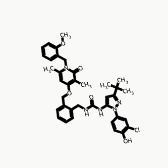 COc1ccccc1Cn1c(C)cc(OCc2ccccc2CNC(=O)Nc2cc(C(C)(C)C)nn2-c2ccc(O)c(Cl)c2)c(C)c1=O